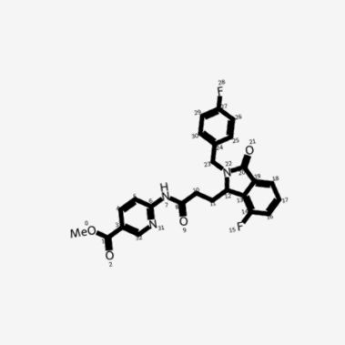 COC(=O)c1ccc(NC(=O)CCC2c3c(F)cccc3C(=O)N2Cc2ccc(F)cc2)nc1